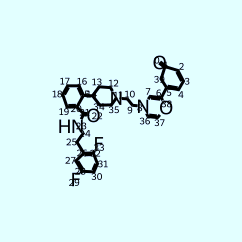 O=C1C=CC=C(C2=CN(CCN3CCC(c4ccccc4C(=O)NCCc4cc(F)ccc4F)CC3)C=CO2)C1